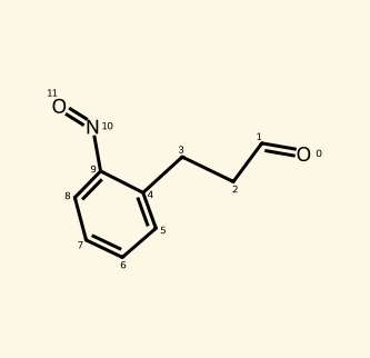 O=CCCc1ccccc1N=O